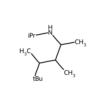 CC(C)NC(C)C(C)C(C)C(C)(C)C